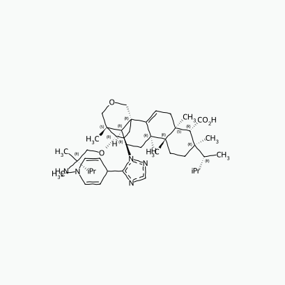 CC(C)[C@@H](C)[C@@]1(C)CC[C@]2(C)[C@H]3CC[C@@H]4[C@@]5(COC[C@@]4(C)[C@@H](OC[C@](C)(N)C(C)C)[C@H](n4ncnc4C4C=CN(C)C=C4)C5)C3=CC[C@@]2(C)[C@@H]1C(=O)O